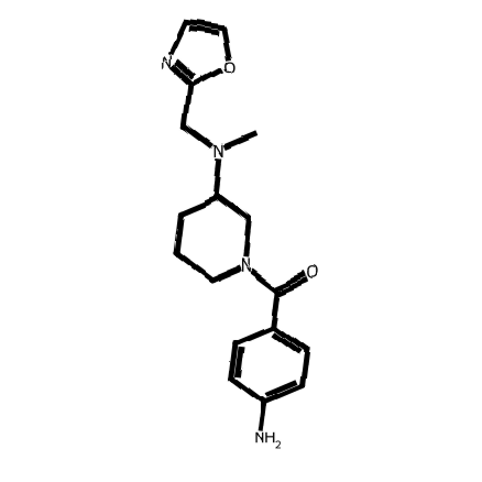 CN(Cc1ncco1)C1CCCN(C(=O)c2ccc(N)cc2)C1